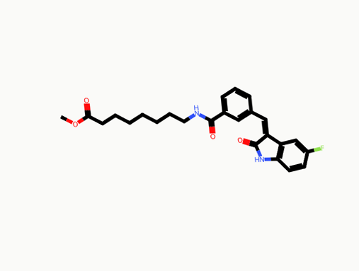 COC(=O)CCCCCCCNC(=O)c1cccc(C=C2C(=O)Nc3ccc(F)cc32)c1